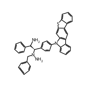 NC(c1ccccc1)[C@@H](c1ccc(-n2c3ccccc3c3cc4c(cc32)sc2ccccc24)cc1)N(N)Cc1ccccc1